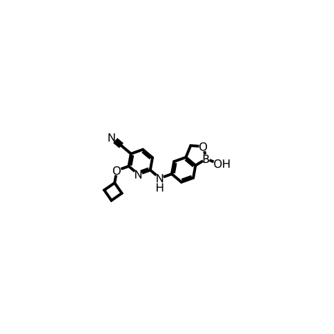 N#Cc1ccc(Nc2ccc3c(c2)COB3O)nc1OC1CCC1